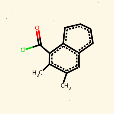 Cc1cc2ccccc2c(C(=O)Cl)c1C